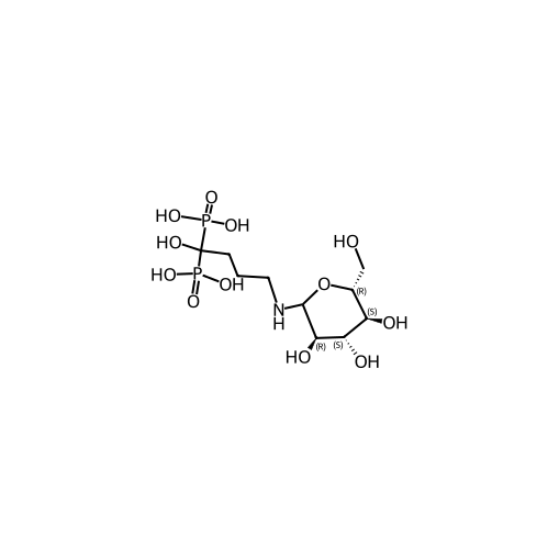 O=P(O)(O)C(O)(CCCNC1O[C@H](CO)[C@@H](O)[C@H](O)[C@H]1O)P(=O)(O)O